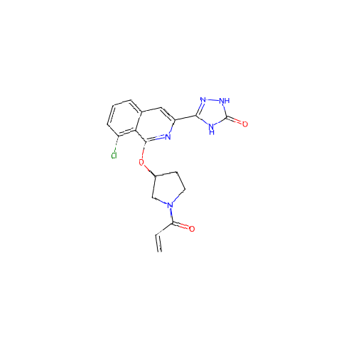 C=CC(=O)N1CCC(Oc2nc(-c3n[nH]c(=O)[nH]3)cc3cccc(Cl)c23)C1